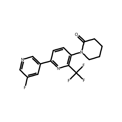 O=C1CCCCN1c1ccc(-c2cncc(F)c2)nc1C(F)(F)F